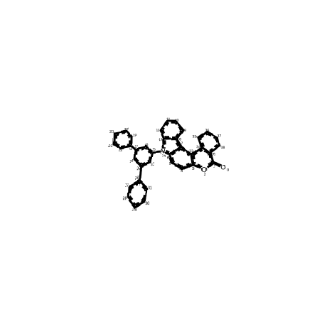 O=c1oc2ccc3c(c4ccccc4n3-c3cc(-c4ccccc4)cc(-c4ccccc4)c3)c2c2ccccc12